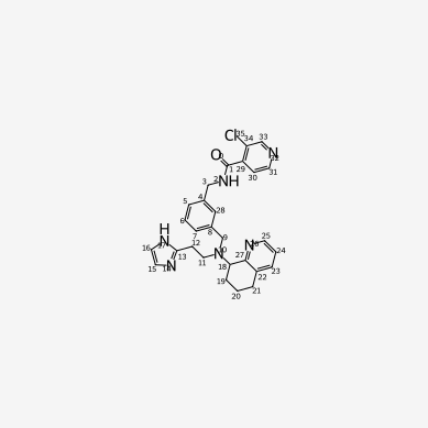 O=C(NCc1cccc(CN(CCc2ncc[nH]2)C2CCCc3cccnc32)c1)c1ccncc1Cl